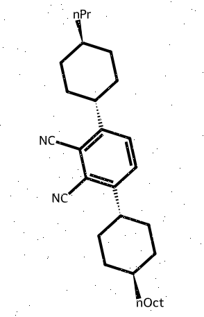 CCCCCCCC[C@H]1CC[C@H](c2ccc([C@H]3CC[C@H](CCC)CC3)c(C#N)c2C#N)CC1